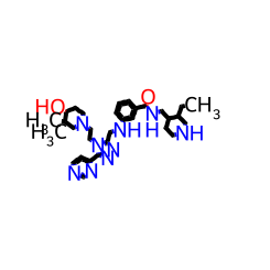 CCC1CNCCC1CNC(=O)c1cccc(NCc2nnc(-c3ccncn3)n2CCN2CCC(O)C(C)(C)C2)c1